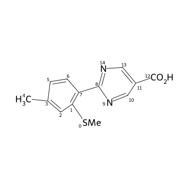 CSc1cc(C)ccc1-c1ncc(C(=O)O)cn1